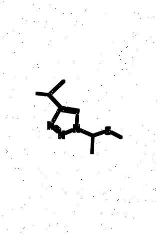 CSC(C)n1cc(C(C)C)nn1